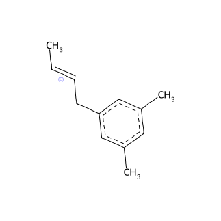 C/C=C/Cc1cc(C)cc(C)c1